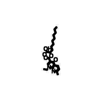 CCCCCCCCCC(OC(=O)c1cn(CC)c2nc(C)ccc2c1=O)C(=O)O